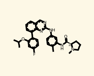 Cc1ccc(Nc2ncc3cccc(-c4ccc(F)cc4OC(C)C)c3n2)cc1NC(=O)[C@H]1CCCN1C